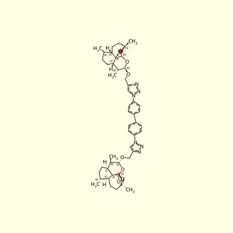 C[C@H]1[C@H](OCc2cn(-c3ccc(-c4ccc(-n5cc(CO[C@@H]6O[C@@H]7O[C@]8(C)CC[C@H]9[C@H](C)CC[C@@H]([C@H]6C)[C@@]79OO8)nn5)cc4)cc3)nn2)O[C@@H]2O[C@]3(C)CC[C@H]4[C@H](C)CC[C@@H]1[C@@]24OO3